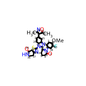 COc1ccc(N2C(=O)CCC[C@H]2C2=NC3C=C(c4c(C)noc4C)C=CC3N2c2nc3c(s2)C(=O)NCC3)cc1F